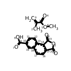 C=C(C)C(=O)OC.O=C(O)c1ccc2c3c(ccc2c1)C(=O)OC3=O